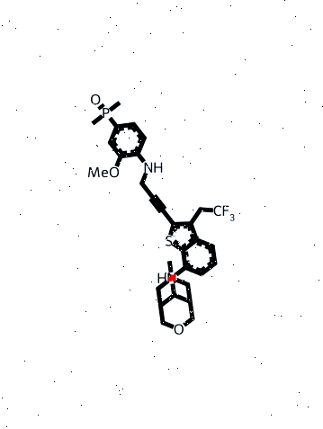 COc1cc(P(C)(C)=O)ccc1NCC#Cc1sc2c(NC3C4COCC3CN(C)C4)cccc2c1CC(F)(F)F